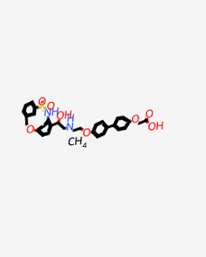 C.O=C(O)COc1ccc(-c2ccc(OCCNCC(O)c3ccc4cc3NS(=O)(=O)c3cccc(c3)CO4)cc2)cc1